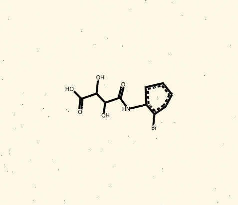 O=C(O)C(O)C(O)C(=O)Nc1ccccc1Br